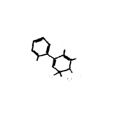 COC1([N+](=O)[O-])C=C(c2ccccc2Cl)C(C=O)=C(O)C1O